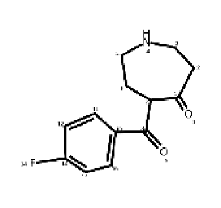 O=C1CCNCCC1C(=O)c1ccc(F)cc1